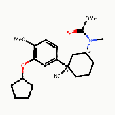 COC(=O)N(C)[C@@H]1CCC[C@](C#N)(c2ccc(OC)c(OC3CCCC3)c2)C1